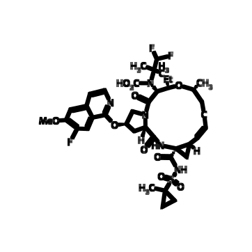 CC[C@@H]1O[C@H](C)CC/C=C\[C@@H]2C[C@@]2(C(=O)NS(=O)(=O)C2(C)CC2)NC(=O)[C@@H]2C[C@@H](Oc3nccc4cc(OC)c(F)cc34)CN2C(=O)[C@H]1N(C(=O)O)C(C)(C)C(F)F